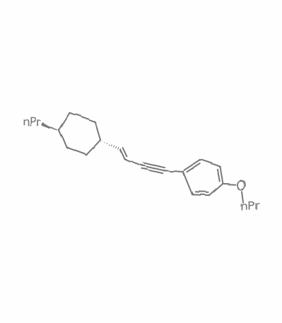 CCCOc1ccc(C#CC=C[C@H]2CC[C@H](CCC)CC2)cc1